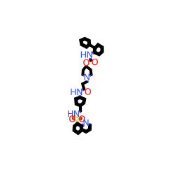 O=C(CCN1CCC(OC(=O)Nc2ccccc2-c2ccccc2)CC1)Nc1ccc(CNS(=O)(=O)c2cccc3cccnc23)cc1